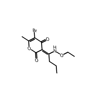 CCCC(NOCC)=C1C(=O)OC(C)=C(Br)C1=O